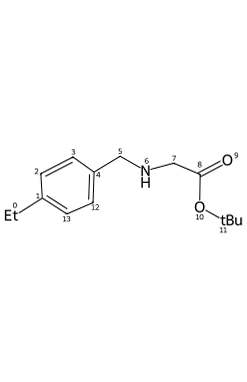 CCc1ccc(CNCC(=O)OC(C)(C)C)cc1